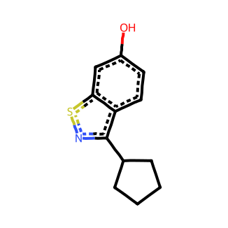 Oc1ccc2c(C3CCCC3)nsc2c1